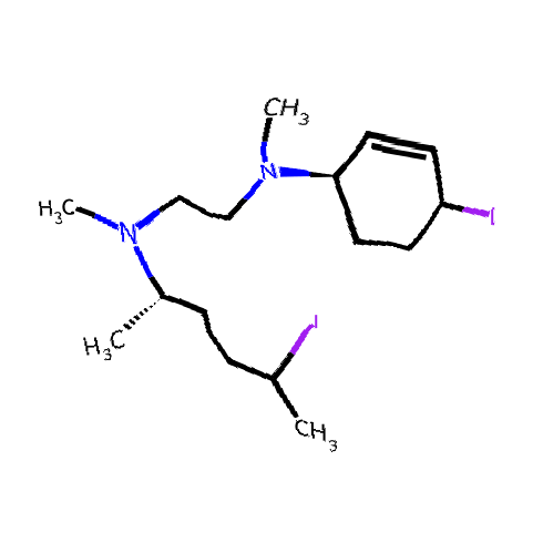 CC(I)CC[C@H](C)N(C)CCN(C)[C@H]1C=CC(I)CC1